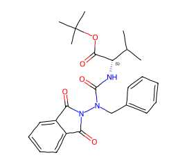 CC(C)[C@H](NC(=O)N(Cc1ccccc1)N1C(=O)c2ccccc2C1=O)C(=O)OC(C)(C)C